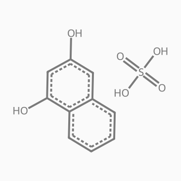 O=S(=O)(O)O.Oc1cc(O)c2ccccc2c1